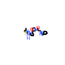 Cc1csc(Nc2cccc(C3CN(C(=O)CCn4ncc5ccccc54)CCO3)n2)n1